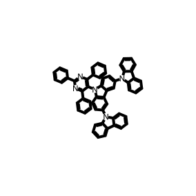 c1ccc(-c2nc(-c3ccccc3)c(-n3c4ccc(-n5c6ccccc6c6ccccc65)cc4c4cc(-n5c6ccccc6c6ccccc65)ccc43)c(-c3ccccc3)n2)cc1